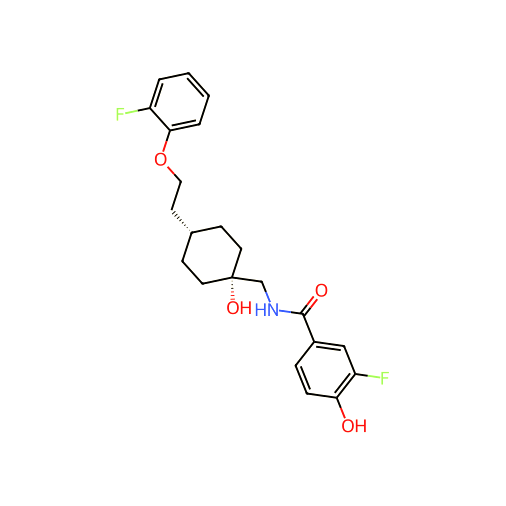 O=C(NC[C@]1(O)CC[C@@H](CCOc2ccccc2F)CC1)c1ccc(O)c(F)c1